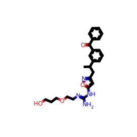 CC(Cc1cc(NC(N)=NCCOCCCO)on1)c1cccc(C(=O)c2ccccc2)c1